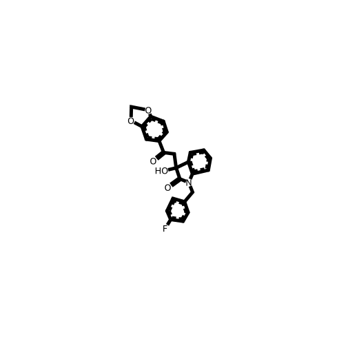 O=C(CC1(O)C(=O)N(Cc2ccc(F)cc2)c2ccccc21)c1ccc2c(c1)OCO2